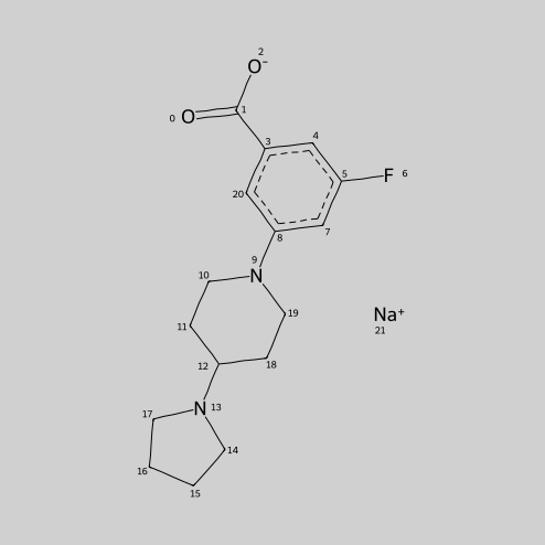 O=C([O-])c1cc(F)cc(N2CCC(N3CCCC3)CC2)c1.[Na+]